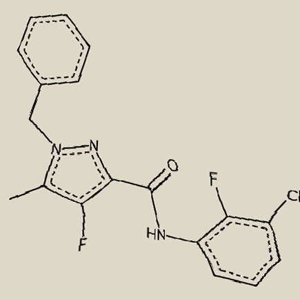 Cc1c(F)c(C(=O)Nc2cccc(Cl)c2F)nn1Cc1ccccc1